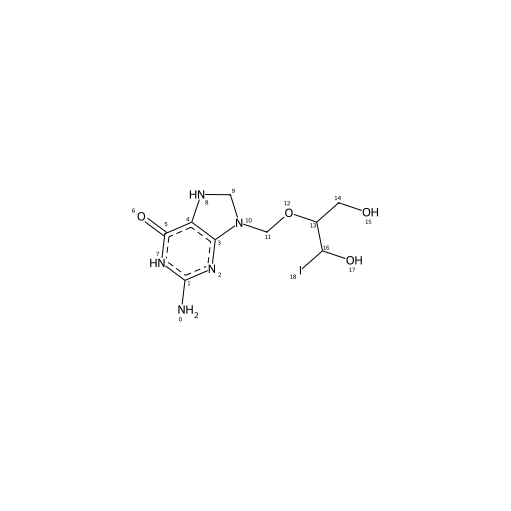 Nc1nc2c(c(=O)[nH]1)NCN2COC(CO)C(O)I